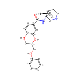 O=C(N[C@H]1CN2CCC1CC2)c1ccc2c(c1)OC(COc1ccccc1)CO2